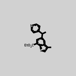 CCOC(=O)c1cc(C(C)c2ccncc2)cc2c(C)csc12